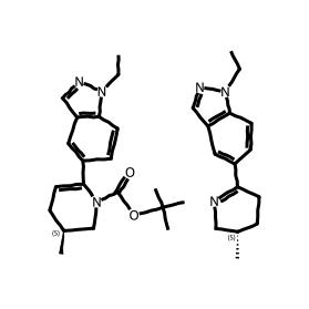 CCn1ncc2cc(C3=CC[C@H](C)CN3C(=O)OC(C)(C)C)ccc21.CCn1ncc2cc(C3=NC[C@@H](C)CC3)ccc21